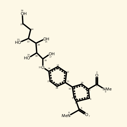 CNC(=O)c1cc(C(=O)NC)cc(-c2ccc(OC(O)C(O)C(O)C(O)CCO)cc2)c1